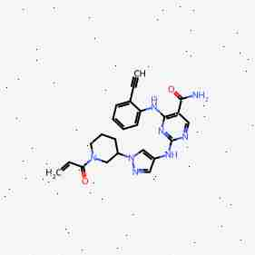 C#Cc1ccccc1Nc1nc(Nc2cnn(C3CCCN(C(=O)C=C)C3)c2)ncc1C(N)=O